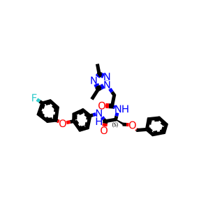 Cc1nc(C)n(CC(=O)N[C@@H](COCc2ccccc2)C(=O)Nc2ccc(Oc3ccc(F)cc3)cc2)n1